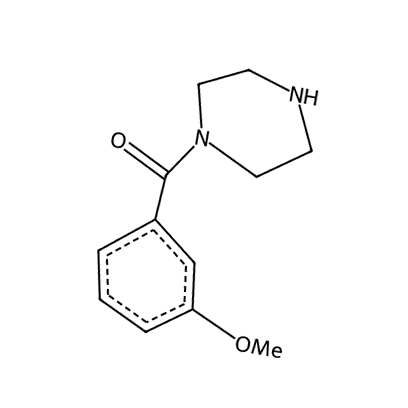 COc1cccc(C(=O)N2CCNCC2)c1